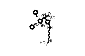 CCNC(=O)c1noc(-c2cc(C(C)C)c(OCc3ccccc3)cc2OCc2ccccc2)c1-c1ccc(CNCCCCCCNC(=O)O)cc1